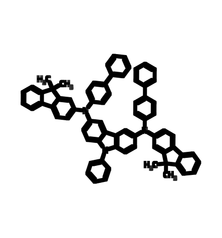 CC1(C)c2ccccc2-c2ccc(N(c3ccc(-c4ccccc4)cc3)c3ccc4c(c3)c3cc(N(c5ccc(-c6ccccc6)cc5)c5ccc6c(c5)C(C)(C)c5ccccc5-6)ccc3n4-c3ccccc3)cc21